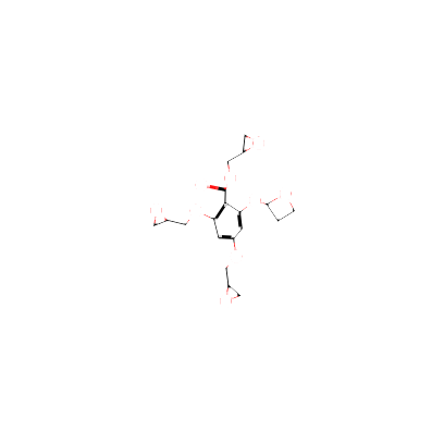 O=C(OCC1CO1)c1c(OCC2CO2)cc(OCC2CO2)cc1OC1CCO1